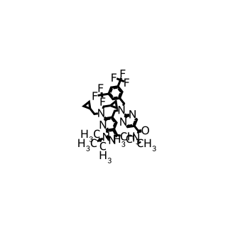 Cc1nn(C(C)(C)C)c2nc(N(CC3CC3)CC3CC3)c(CN(Cc3cc(C(F)(F)F)cc(C(F)(F)F)c3)c3ncc(C(=O)N(C)C)cn3)cc12